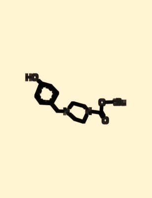 CC(C)(C)OC(=O)N1CCN(Cc2ccc(O)cc2)CC1